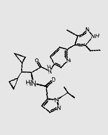 CCc1[nH]nc(C)c1-c1ccc(NC(=O)C(NC(=O)c2ccnn2C(C)C)C(C2CC2)C2CC2)cn1